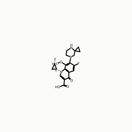 COc1c(N2CCNC3(CC3)C2)c(F)cc2c(=O)c(C(=O)O)cn([C@@H]3C[C@@H]3F)c12